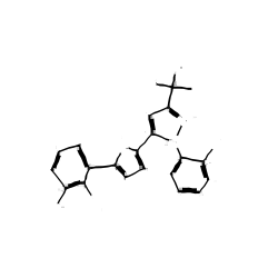 CC(C)(O)c1cc(-c2ccc(-c3cccc(Cl)c3Cl)s2)n(-c2ccccc2Cl)n1